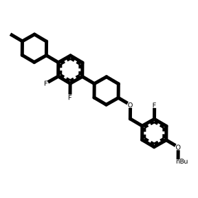 CCCCOc1ccc(COC2CCC(c3ccc(C4CCC(C)CC4)c(F)c3F)CC2)c(F)c1